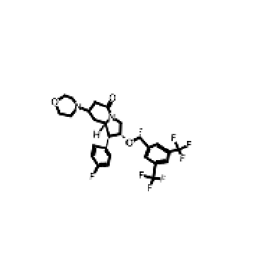 C[C@@H](O[C@H]1CN2C(=O)CC(N3CCOCC3)C[C@H]2[C@@H]1c1ccc(F)cc1)c1cc(C(F)(F)F)cc(C(F)(F)F)c1